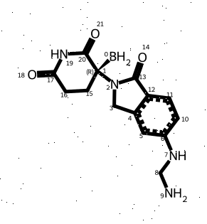 B[C@@]1(N2Cc3cc(NCN)ccc3C2=O)CCC(=O)NC1=O